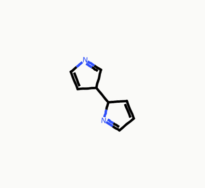 C1=CC(C2C=CN=C2)N=C1